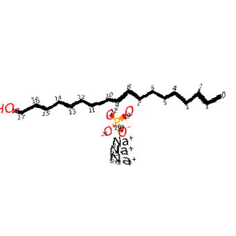 CCCCCCCCC=CCCCCCCCCO.O=P([O-])([O-])[O-].[Na+].[Na+].[Na+]